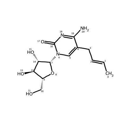 CC=CCc1cn([C@@H]2O[C@H](CO)[C@@H](O)[C@@H]2O)c(=O)nc1N